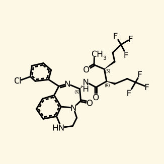 CC(=O)[C@@H](CCC(F)(F)F)[C@@H](CCC(F)(F)F)C(=O)N[C@H]1N=C(c2cccc(Cl)c2)c2cccc3c2N(CCN3)C1=O